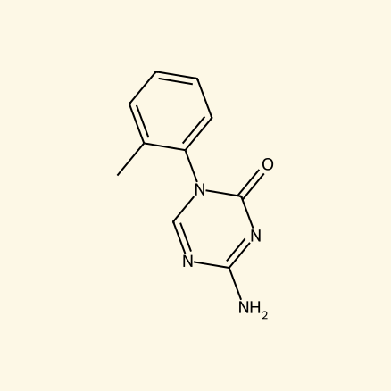 Cc1ccccc1-n1cnc(N)nc1=O